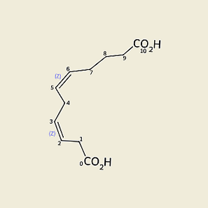 O=C(O)C/C=C\C/C=C\CCCC(=O)O